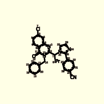 CC(C)C(c1nc2cc(Cl)ccc2c(=O)n1Cc1ccccc1)n1ccnc1-c1ccc(C#N)cc1